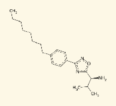 CCCCCCCCc1ccc(-c2noc([C@@H](N)C(C)C)n2)cc1